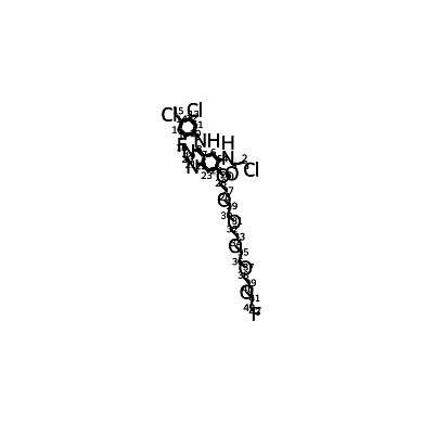 O=C(CCl)Nc1cc2c(Nc3cc(Cl)c(Cl)cc3F)ncnc2cc1OCCOCCOCCOCCOCCOCCF